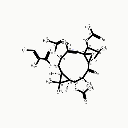 C/C=C(\C)C(=O)O[C@H]1[C@H]2[C@@H]([C@@H](OC(C)=O)[C@H](C)C(=O)[C@@]34C[C@H](C)[C@H](OC(C)=O)C3(/C=C(/C)[C@H]1OC(C)=O)O4)C2(C)C